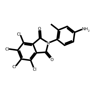 Cc1cc(N)ccc1N1C(=O)c2c(Cl)c(Cl)c(Cl)c(Cl)c2C1=O